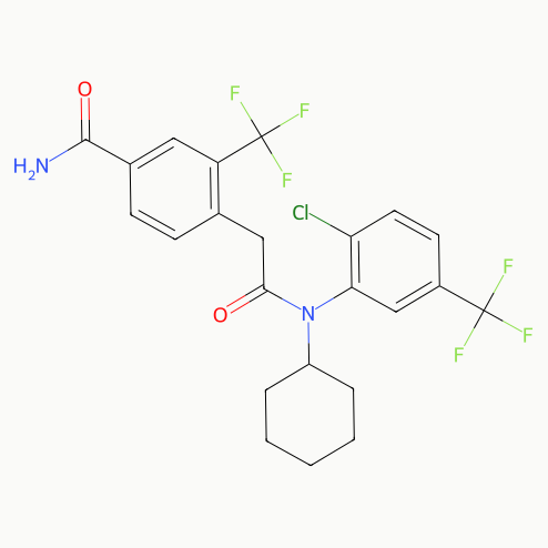 NC(=O)c1ccc(CC(=O)N(c2cc(C(F)(F)F)ccc2Cl)C2CCCCC2)c(C(F)(F)F)c1